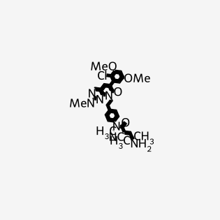 CNc1ncc2cc(-c3cc(OC)cc(OC)c3Cl)c(=O)n(CCc3ccc(N(C)C(=O)/C(C#N)=C/C(C)(C)N)cc3)c2n1